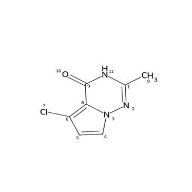 Cc1nn2ccc(Cl)c2c(=O)[nH]1